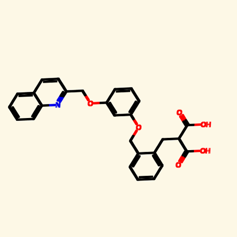 O=C(O)C(Cc1ccccc1COc1cccc(OCc2ccc3ccccc3n2)c1)C(=O)O